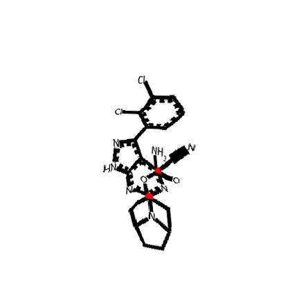 N#Cc1nc(N2C3CCC2CC(OC(N)=O)C3)nc2[nH]nc(-c3cccc(Cl)c3Cl)c12